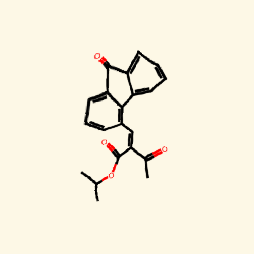 CC(=O)C(=Cc1cccc2c1-c1ccccc1C2=O)C(=O)OC(C)C